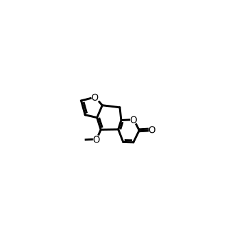 COC1=C2C=COC2Cc2oc(=O)ccc21